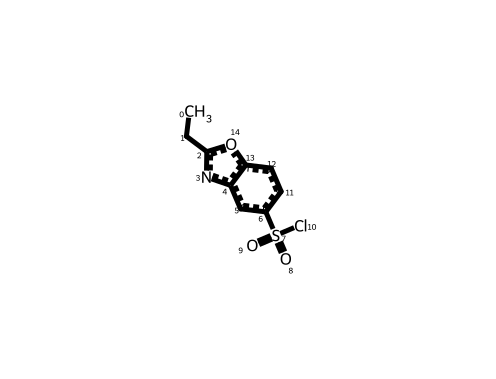 CCc1nc2cc(S(=O)(=O)Cl)ccc2o1